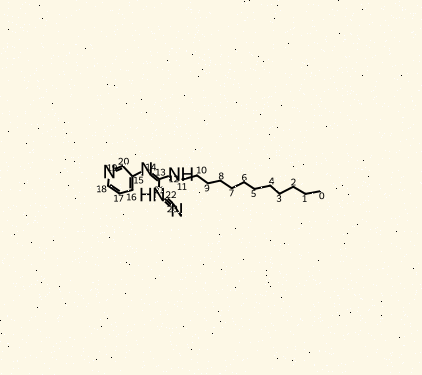 CCCCCCCCCCCCNC(=Nc1cccnc1)NC#N